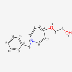 OCCOC1=CC=CN(Cc2ccccc2)C=C1